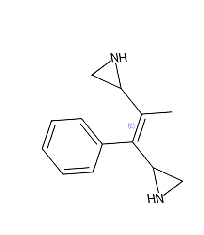 C/C(=C(/c1ccccc1)C1CN1)C1CN1